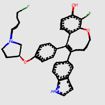 Oc1ccc2c(c1F)OCCC(c1ccc3[nH]ccc3c1)=C2c1ccc(O[C@H]2CCN(CCCF)C2)cc1